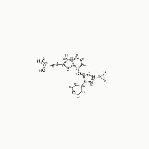 C[C@H](O)C#Cc1cc2c(Oc3cn(C4CC4)nc3C3CCOCC3)ccnc2[nH]1